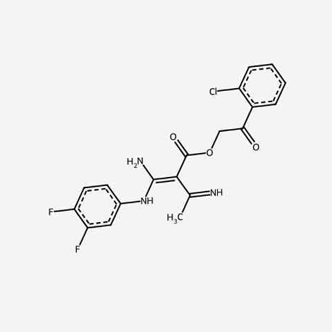 CC(=N)/C(C(=O)OCC(=O)c1ccccc1Cl)=C(/N)Nc1ccc(F)c(F)c1